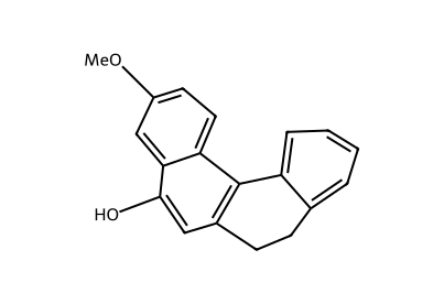 COc1ccc2c3c(cc(O)c2c1)CCc1ccccc1-3